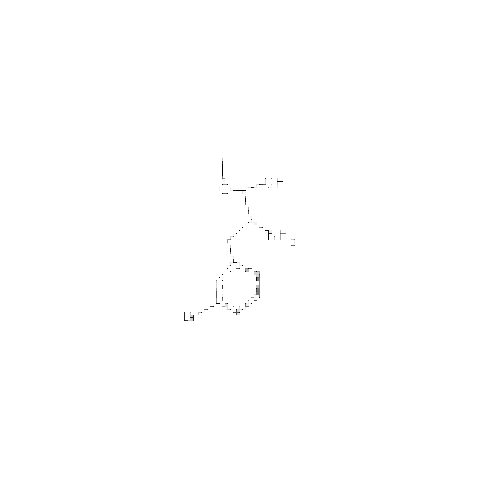 COC(O)C(N)Cc1cccc(Br)c1